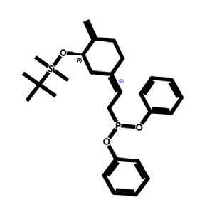 C=C1CC/C(=C/CP(Oc2ccccc2)Oc2ccccc2)C[C@H]1O[Si](C)(C)C(C)(C)C